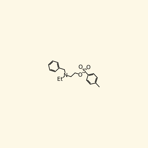 CCN(CCOS(=O)(=O)c1ccc(C)cc1)Cc1ccccc1